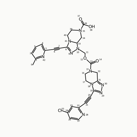 Cc1cccc(C#CC2=NN(COC(=O)N3CCn4c(C#Cc5cc(Cl)ccn5)nnc4C3)C3CN(C(=O)O)CCN23)n1